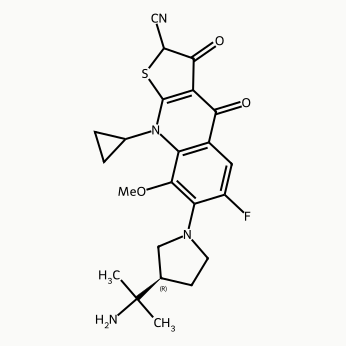 COc1c(N2CC[C@@H](C(C)(C)N)C2)c(F)cc2c(=O)c3c(n(C4CC4)c12)SC(C#N)C3=O